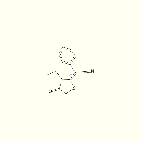 CCN1C(=O)CS/C1=C(\C#N)c1ccccc1